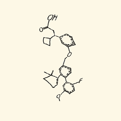 COc1ccc(F)c(-c2ccc(COc3cccc([C@H](CC(=O)O)C4CCC4)c3)cc2C2=CCCC2(C)C)c1